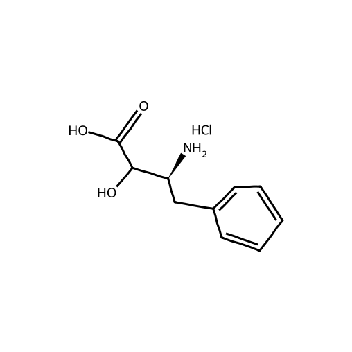 Cl.N[C@@H](Cc1ccccc1)C(O)C(=O)O